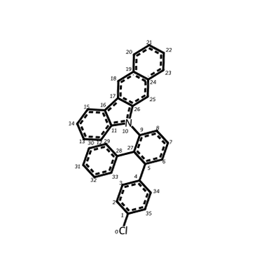 Clc1ccc(-c2cccc(-n3c4ccccc4c4cc5ccccc5cc43)c2-c2ccccc2)cc1